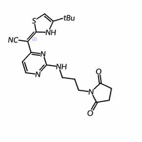 CC(C)(C)C1=CS/C(=C(\C#N)c2ccnc(NCCCN3C(=O)CCC3=O)n2)N1